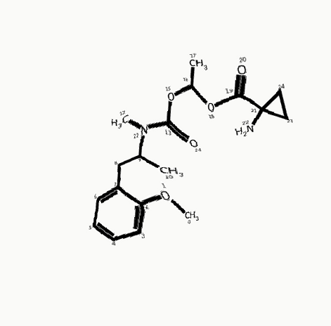 COc1ccccc1CC(C)N(C)C(=O)OC(C)OC(=O)C1(N)CC1